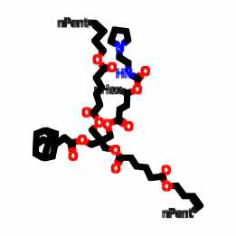 CCCCC/C=C\CCOC(=O)CCCCC(=O)OCC(COC(=O)CCCCC(=O)OCC/C=C\CCCCC)(COC(=O)CCC(CCCCCC)OC(=O)NCCN1CCCC1)COC(=O)CC12CC3CC(CC(C3)C1)C2